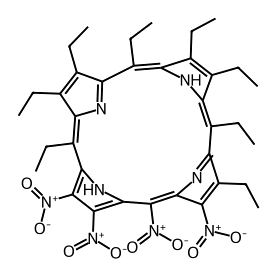 CCC1=C(CC)c2nc1c(CC)c1[nH]c(c(CC)c3nc(c([N+](=O)[O-])c4[nH]c(c2CC)c([N+](=O)[O-])c4[N+](=O)[O-])C([N+](=O)[O-])=C3CC)c(CC)c1CC